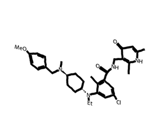 CCN(c1cc(Cl)cc(C(=O)NCc2c(C)[nH]c(C)cc2=O)c1C)[C@H]1CC[C@H](N(C)Cc2ccc(OC)cc2)CC1